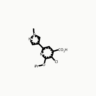 CC(C)Oc1nc(-c2cnn(C)c2)cc(C(=O)O)c1Cl